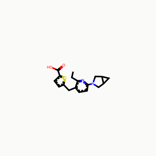 CCc1nc(N2CC3CC3C2)ccc1Cc1ccc(C(=O)O)s1